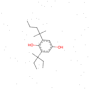 CCCC(C)(C)c1cc(O)cc(C(C)(CC)CC)c1O